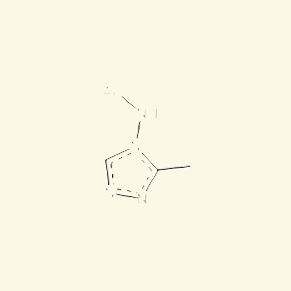 CC(=O)Nn1[c]nnc1C